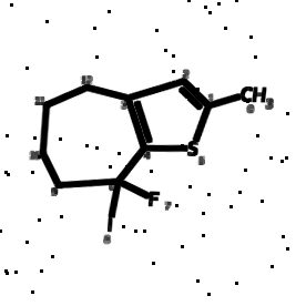 Cc1cc2c(s1)C(F)(I)CCCC2